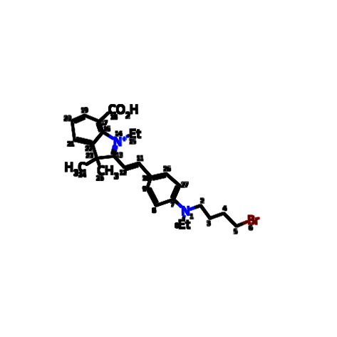 CCN(CCCCBr)c1ccc(/C=C/C2=[N+](CC)c3c(C(=O)O)cccc3C2(C)C)cc1